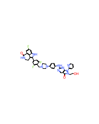 O=C1NCCc2c(-c3cc(F)c(CN4CCN(c5ccc(Nc6ncc7c(=O)n(CCO)n(-c8ccccn8)c7n6)cc5)CC4)c(F)c3)[nH]c3cc(F)cc1c23